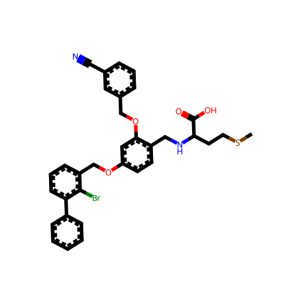 CSCCC(NCc1ccc(OCc2cccc(-c3ccccc3)c2Br)cc1OCc1cccc(C#N)c1)C(=O)O